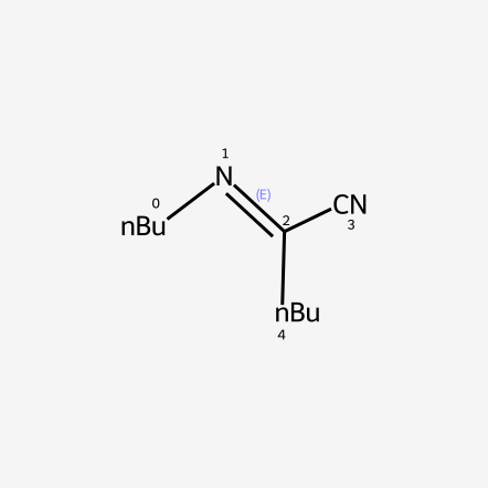 CCCC/N=C(/C#N)CCCC